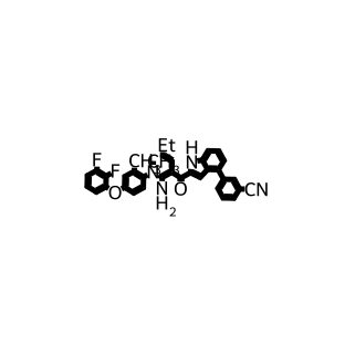 CC/C=C/C(C(=O)c1cc2c(-c3cccc(C#N)c3)cccc2[nH]1)=C(/N)N(C)c1ccc(Oc2cccc(F)c2F)cc1C